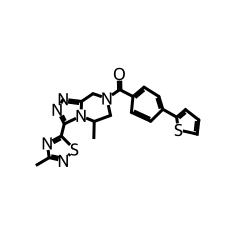 Cc1nsc(-c2nnc3n2C(C)CN(C(=O)c2ccc(-c4cccs4)cc2)C3)n1